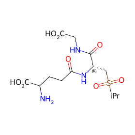 CC(C)S(=O)(=O)C[C@H](NC(=O)CCC(N)C(=O)O)C(=O)NCC(=O)O